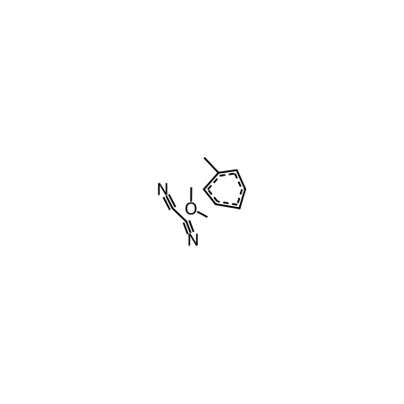 COC.Cc1ccccc1.N#CC#N